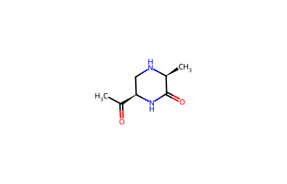 CC(=O)[C@H]1CN[C@@H](C)C(=O)N1